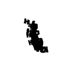 Cc1cnc(CNC(=O)Nc2ccc(C(=O)NC(CC(C)C)C(=O)NCC#N)cc2)cn1